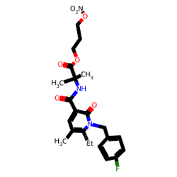 CCc1c(C)cc(C(=O)NC(C)(C)C(=O)OCCCO[N+](=O)[O-])c(=O)n1Cc1ccc(F)cc1